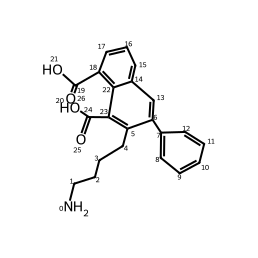 NCCCCc1c(-c2ccccc2)cc2cccc(C(=O)O)c2c1C(=O)O